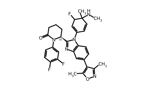 CNC1(C)C=CC(n2c([C@@H]3CCCC(=O)N3c3ccc(F)c(F)c3)nc3cc(-c4c(C)noc4C)ccc32)=CC1F